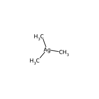 [CH3][Ag]([CH3])[CH3]